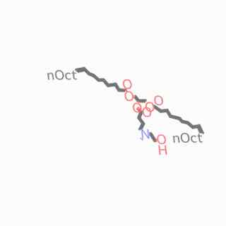 CCCCCCCC/C=C\CCCCCCCC(=O)OCC(COC(=O)CCCCCCC/C=C\CCCCCCCC)OC(=O)CCCN(C)CCO